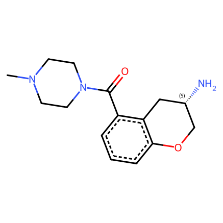 CN1CCN(C(=O)c2cccc3c2C[C@H](N)CO3)CC1